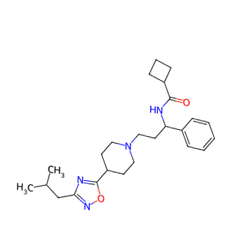 CC(C)Cc1noc(C2CCN(CCC(NC(=O)C3CCC3)c3ccccc3)CC2)n1